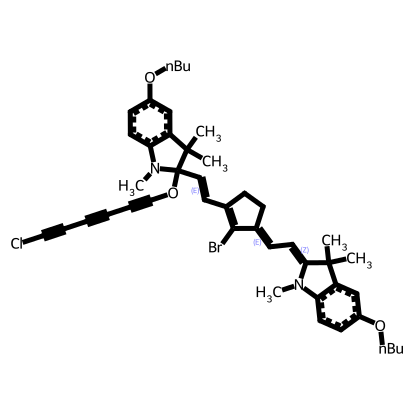 CCCCOc1ccc2c(c1)C(C)(C)/C(=C/C=C1\CCC(/C=C/C3(OC#CC#CC#CCl)N(C)c4ccc(OCCCC)cc4C3(C)C)=C1Br)N2C